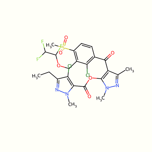 CCc1nn(C)c(C(=O)Oc2c(C(=O)c3ccc(S(C)(=O)=O)c(COC(F)C(F)F)c3Cl)c(C)nn2C)c1Cl